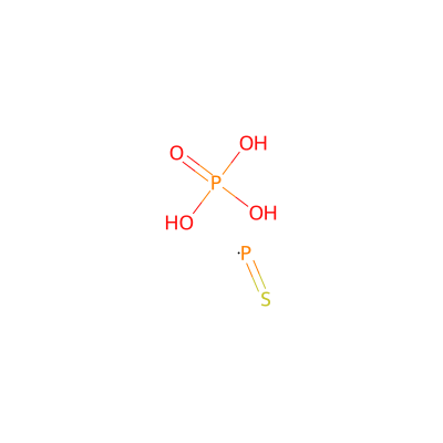 O=P(O)(O)O.[P]=S